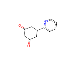 O=C1CC(=O)CC(c2ccccn2)C1